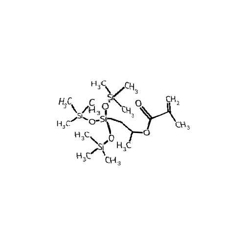 C=C(C)C(=O)OC(C)C[Si](O[Si](C)(C)C)(O[Si](C)(C)C)O[Si](C)(C)C